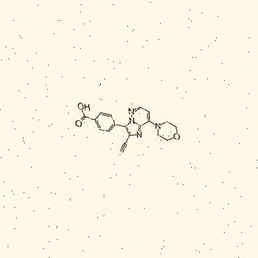 C#Cc1nc2c(N3CCOCC3)ccnn2c1-c1ccc(C(=O)O)cc1